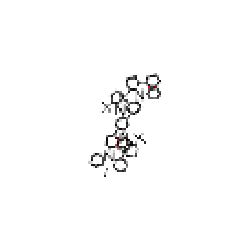 CCc1cccc(-c2ccccc2)c1N(c1ccccc1)c1ccc2c3cc4c(cc3n3c5c(C(C)(C)C)cccc5c1c23)c1ccc(N(c2ccccc2)c2c(CC)cccc2-c2ccccc2)c2c3cccc(C(C)(C)C)c3n4c12